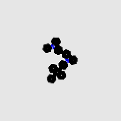 c1ccc(-c2c3ccccc3c(-c3ccc(-n4c5ccccc5c5ccc(-c6ccc7c(c6)c6ccccc6n7-c6ccccc6)cc54)cc3)c3ccccc23)cc1